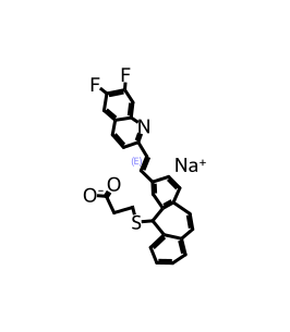 O=C([O-])CCSC1c2ccccc2C=Cc2ccc(/C=C/c3ccc4cc(F)c(F)cc4n3)cc21.[Na+]